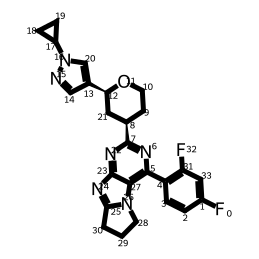 Fc1ccc(-c2nc([C@@H]3CCO[C@H](c4cnn(C5CC5)c4)C3)nc3nc4n(c23)CCC4)c(F)c1